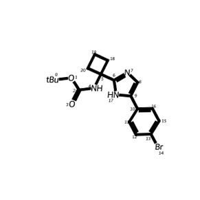 CC(C)(C)OC(=O)NC1(c2ncc(-c3ccc(Br)cc3)[nH]2)CCC1